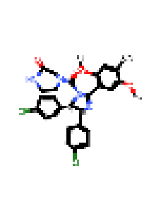 CCOc1cc(C2=N[C@@H](c3ccc(Cl)cc3)[C@@H](c3ccc(Cl)cc3)N2C(=O)N2CCNC(=O)C2)c(OCC)cc1C#N